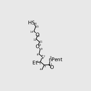 CCCCCC(=O)C(C)C(CC)SCCOCCOCCS